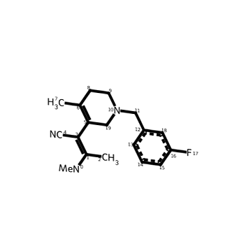 CN/C(C)=C(\C#N)C1=C(C)CCN(Cc2cccc(F)c2)C1